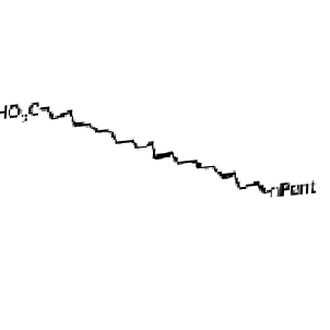 CCCCCC=CCC=CCC=CCC=CCCCCCCCCCCCC(=O)O